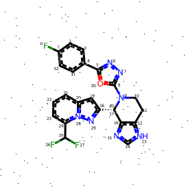 Fc1ccc(-c2nnc(N3CCc4[nH]cnc4[C@@H]3c3cc4cccc(C(F)F)n4n3)o2)cc1